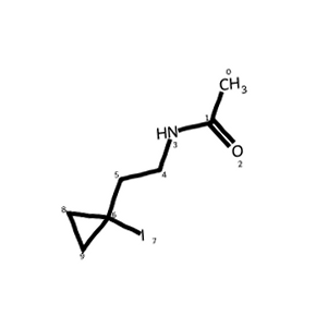 CC(=O)NCCC1(I)CC1